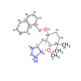 COC1C(Cc2nc[nH]n2)C(OCc2cccc3ccccc23)CCC1(C)C